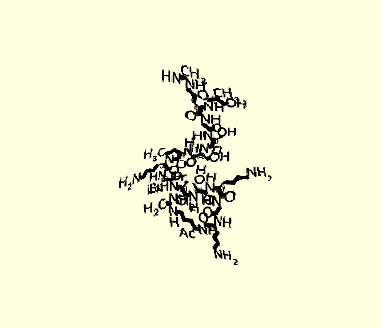 C=C(N)NCCC[C@H](NC(=O)[C@H](CCCCN)NC(=O)CNC(=O)[C@H](CCCCN)NC(=O)[C@H](CO)NC(=O)[C@H](CC(C)C)NC(=O)[C@@H](NC(=O)[C@H](CCCCN)N1C(=O)[C@@H](NC(=O)[C@H](CO)NC(=O)[C@H](CO)NC(=O)CNC(=O)[C@H](CCCNC(C)=N)NC(=O)[C@@H](C)CO)CC1C)[C@@H](C)CC)C(C)=O